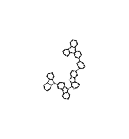 C1=CC2c3ccccc3N(c3ccc4c(c3)c3ccccc3n4-c3nccc4c3sc3ccc(-c5cccc(-c6ccc7c8ccccc8c8ccccc8c7c6)c5)cc34)C2C=C1